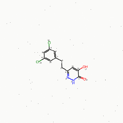 O=c1[nH]nc(CCc2cc(Cl)cc(Cl)c2)cc1O